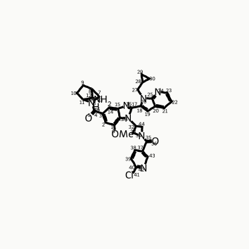 COc1cc(C(=O)N2CC3CCC2[C@@H]3N)cc2nc(-c3cc4cccnc4n3CC3CC3)n(C3CN(C(=O)c4ccc(Cl)nc4)C3)c12